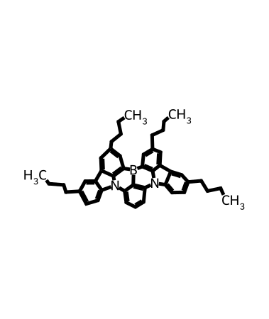 CCCCc1ccc2c(c1)c1cc(CCCC)cc3c1n2-c1cccc2c1B3c1cc(CCCC)cc3c4cc(CCCC)ccc4n-2c13